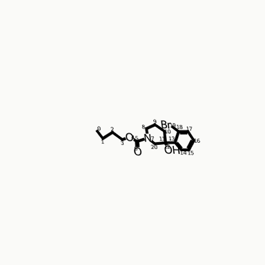 CCCCOC(=O)N1CCCC(O)(c2ccccc2Br)C1